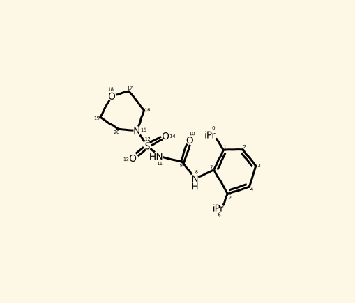 CC(C)c1cccc(C(C)C)c1NC(=O)NS(=O)(=O)N1CCOCC1